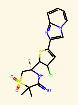 CC1(C)C(=N)N[C@](C)(C2SC(c3cn4ccccc4n3)=CC2Cl)CS1(=O)=O